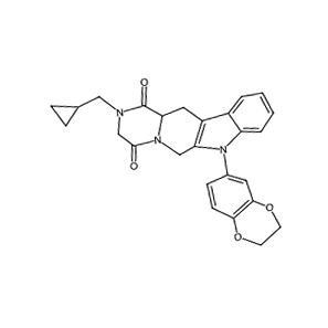 O=C1C2Cc3c(n(-c4ccc5c(c4)OCCO5)c4ccccc34)CN2C(=O)CN1CC1CC1